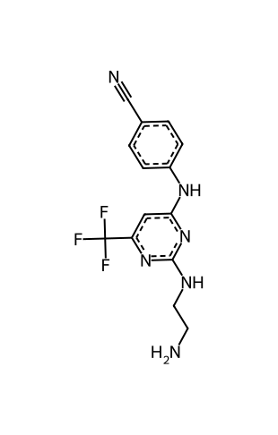 N#Cc1ccc(Nc2cc(C(F)(F)F)nc(NCCN)n2)cc1